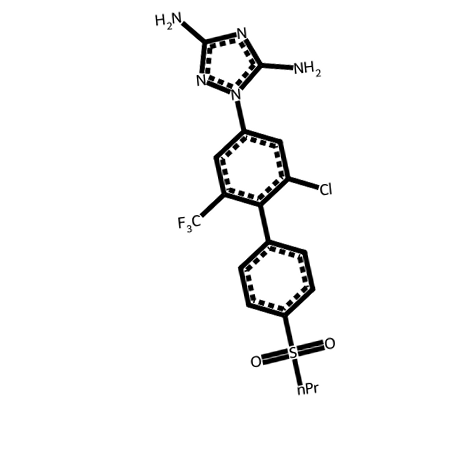 CCCS(=O)(=O)c1ccc(-c2c(Cl)cc(-n3nc(N)nc3N)cc2C(F)(F)F)cc1